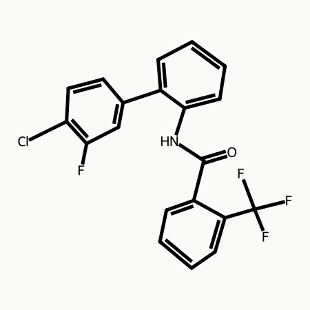 O=C(Nc1ccccc1-c1ccc(Cl)c(F)c1)c1ccccc1C(F)(F)F